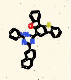 c1ccc(C2N=C(c3ccc4ccccc4c3)N=C(c3cc4c5ccccc5sc4c4c3oc3ccccc34)N2)cc1